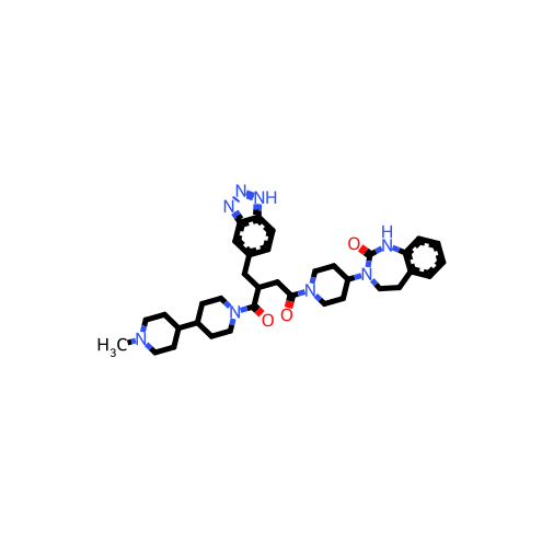 CN1CCC(C2CCN(C(=O)C(CC(=O)N3CCC(N4CCc5ccccc5NC4=O)CC3)Cc3ccc4[nH]nnc4c3)CC2)CC1